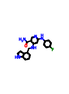 NC(=O)c1cnc(Nc2ccc(F)cc2)cc1NCc1cccc2[nH]ccc12